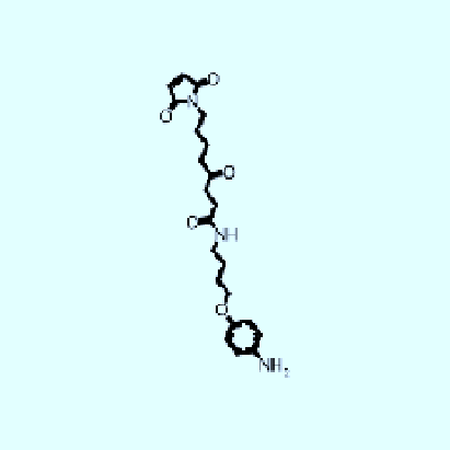 Nc1ccc(OCCCCNC(=O)CCC(=O)CCCCN2C(=O)C=CC2=O)cc1